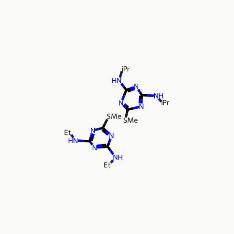 CCNc1nc(NCC)nc(SC)n1.CSc1nc(NC(C)C)nc(NC(C)C)n1